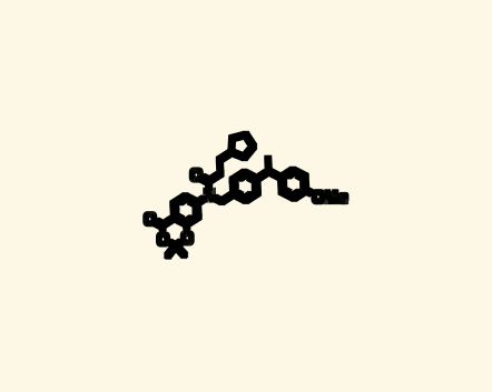 COc1ccc(C(C)c2ccc(CN(C(=O)CCC3CCCC3)c3ccc4c(c3)OC(C)(C)OC4=O)cc2)cc1